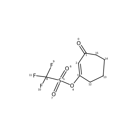 O=C1C=C(OS(=O)(=O)C(F)(F)F)CCCC1